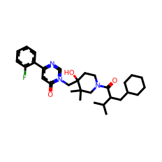 CC(C)C(CC1CCCCC1)C(=O)N1CCC(O)(Cn2cnc(-c3ccccc3F)cc2=O)C(C)(C)C1